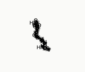 C[C@H]1CN(c2cc(-c3n[nH]c4ccc(OC5(C)CC5)cc34)ncn2)CCN1CCN1CCN(C(=O)C2CCN(c3ccc4c(c3)C(=O)N(C3CCC(=O)NC3=O)C4=O)CC2)CC1